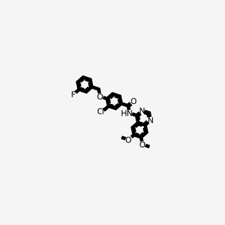 COc1cc2ncnc(NC(=O)c3ccc(OCc4cccc(F)c4)c(Cl)c3)c2cc1OC